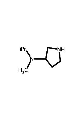 CC(C)N(C)C1CCNC1